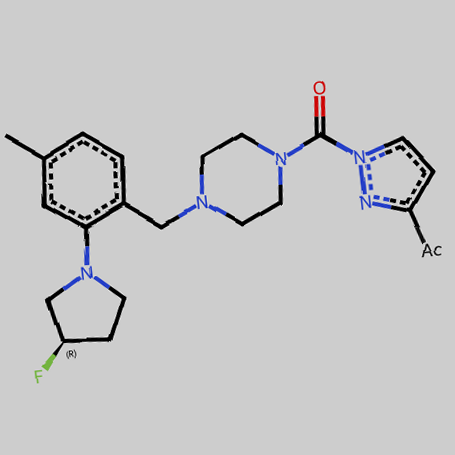 CC(=O)c1ccn(C(=O)N2CCN(Cc3ccc(C)cc3N3CC[C@@H](F)C3)CC2)n1